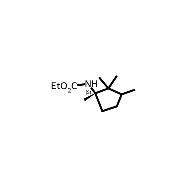 CCOC(=O)N[C@@]1(C)CCC(C)C1(C)C